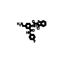 NCc1ccc(NC(=O)c2sc3ccccc3c2Cl)c(C(=O)Nc2ccc(F)cc2)c1